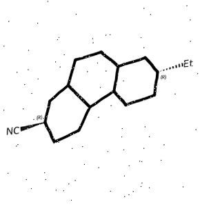 CC[C@@H]1CCC2C(CCC3C[C@H](C#N)CCC32)C1